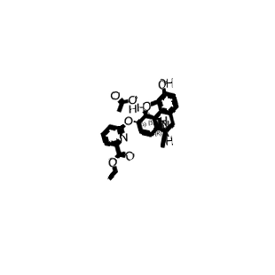 CC(=O)O.CCOC(=O)c1cccc(O[C@H]2C=C[C@H]3[C@H]4Cc5ccc(O)c6c5[C@@]3(CCN4C)[C@H]2O6)n1